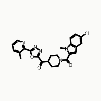 Cc1cccnc1-c1nnc(C(=O)C2CCN(C(=O)c3cc4cc(Cl)ccc4n3C)CC2)o1